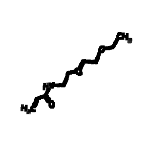 C=CC(=O)NCCOCCOCC